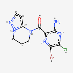 Nc1nc(Cl)c(Br)nc1C(=O)N1CCCn2nccc21